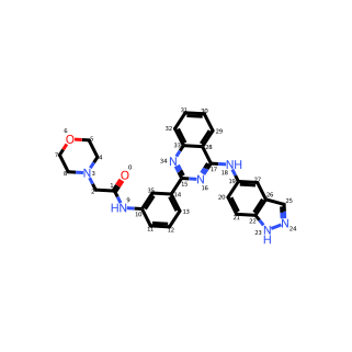 O=C(CN1CCOCC1)Nc1cccc(-c2nc(Nc3ccc4[nH]ncc4c3)c3ccccc3n2)c1